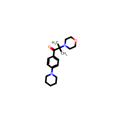 CC(C)(C(=O)c1ccc(N2CCCCC2)cc1)N1CCOCC1